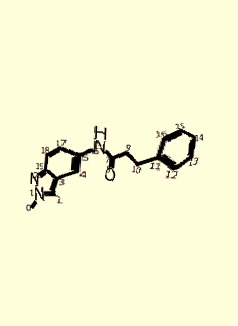 Cn1cc2cc(NC(=O)CCc3ccccc3)ccc2n1